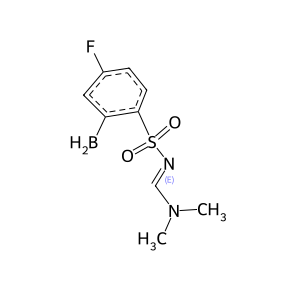 Bc1cc(F)ccc1S(=O)(=O)/N=C/N(C)C